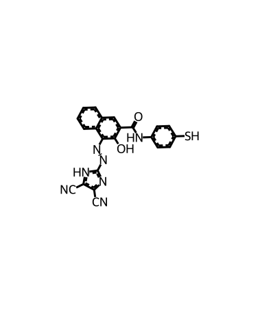 N#Cc1nc(/N=N/c2c(O)c(C(=O)Nc3ccc(S)cc3)cc3ccccc23)[nH]c1C#N